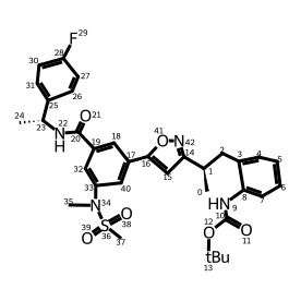 C[C@H](Cc1ccccc1NC(=O)OC(C)(C)C)c1cc(-c2cc(C(=O)N[C@H](C)c3ccc(F)cc3)cc(N(C)S(C)(=O)=O)c2)on1